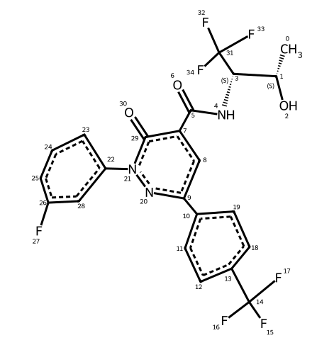 C[C@H](O)[C@H](NC(=O)c1cc(-c2ccc(C(F)(F)F)cc2)nn(-c2cccc(F)c2)c1=O)C(F)(F)F